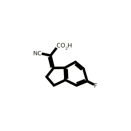 N#CC(C(=O)O)=C1CCc2cc(F)ccc21